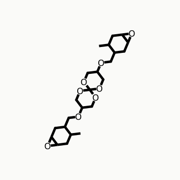 CC1CC2OC2CC1COC1COC2(OC1)OCC(OCC1CC3OC3CC1C)CO2